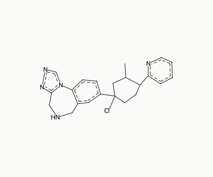 CC1CC(Cl)(c2ccc3c(c2)CNCc2nncn2-3)CCC1c1ccccn1